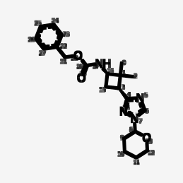 CC1(C)[C@@H](c2ncn(C3CCCCO3)n2)C[C@H]1NC(=O)OCc1ccccc1